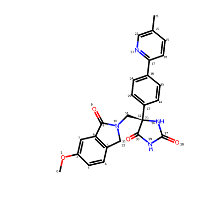 COc1ccc2c(c1)C(=O)N(C[C@@]1(c3ccc(-c4ccc(C)cn4)cc3)NC(=O)NC1=O)C2